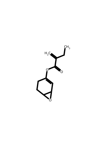 C=C(CC)C(=O)OC1=CC2OC2CC1